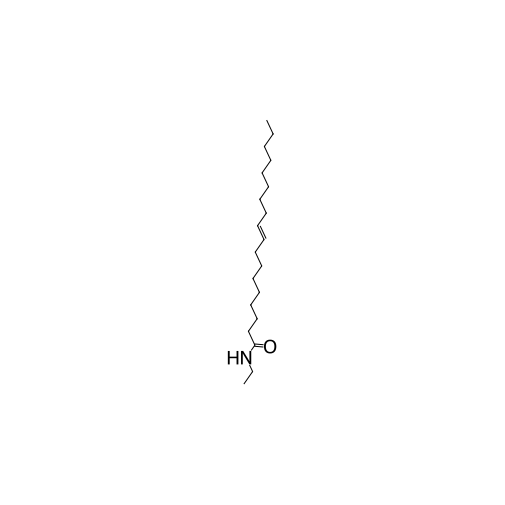 CCCCCCCCC=CCCCCCCCC(=O)NCC